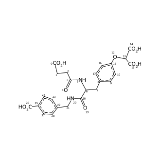 O=C(O)CCC(=O)NC(Cc1ccc(OC(C(=O)O)C(=O)O)cc1)C(=O)NCc1ccc(C(=O)O)cc1